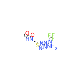 N/C(=N/CC(F)(F)F)Nc1ncnc(SCCCNC(=O)c2ccco2)n1